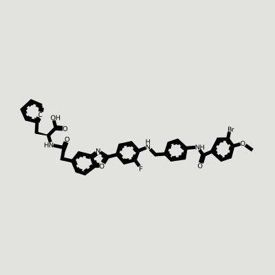 COc1ccc(C(=O)Nc2ccc(CNc3ccc(-c4nc5cc(CC(=O)N[C@@H](Cc6ccccc6)C(=O)O)ccc5o4)cc3F)cc2)cc1Br